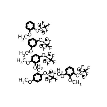 COc1ccc(OS(=O)(=O)C(F)(F)F)cc1.COc1ccc(OS(=O)(=O)C(F)(F)F)cc1OC.COc1cccc(OS(=O)(=O)C(F)(F)F)c1.COc1cccc(OS(=O)(=O)C(F)(F)F)c1OC.COc1ccccc1OS(=O)(=O)C(F)(F)F